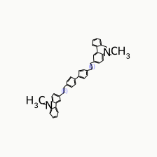 CCN1Cc2ccccc2-c2cc(/C=C/c3ccc(-c4ccc(/C=C/c5ccc6c(c5)c5ccccc5n6CC)cc4)cc3)ccc21